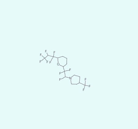 FC(N1CCC(C(F)(F)F)CC1)C(F)(F)C1CCCC(C(F)(F)C(F)C(F)(F)F)O1